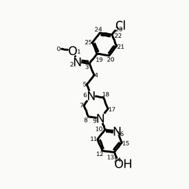 CON=C(CCN1CCN(c2ccc(O)cn2)CC1)c1ccc(Cl)cc1